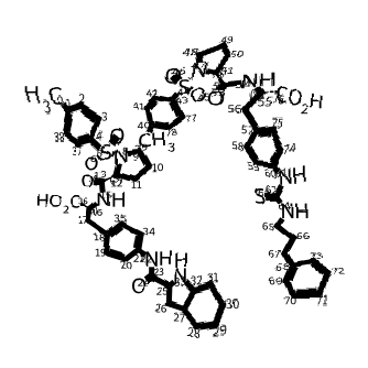 Cc1ccc(S(=O)(=O)N2CCC[C@H]2C(=O)N[C@@H](Cc2ccc(NC(=O)C3CC4CCCCC4N3)cc2)C(=O)O)cc1.Cc1ccc(S(=O)(=O)N2CCC[C@H]2C(=O)N[C@@H](Cc2ccc(NC(=S)NCCCc3ccccc3)cc2)C(=O)O)cc1